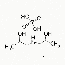 CC(O)CNCC(C)O.O=S(=O)(O)O